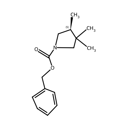 C[C@@H]1CN(C(=O)OCc2ccccc2)CC1(C)C